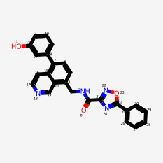 O=C(NCc1ccc(-c2cccc(O)c2)c2ccncc12)c1noc(-c2ccccc2)n1